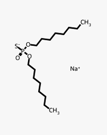 CCCCCCCCOP(=O)([S-])OCCCCCCCC.[Na+]